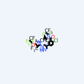 Cn1nc(OC(F)(F)C(F)C(F)(F)F)c(C(F)(F)F)c1N/C=C(\C=N)c1ccc(Cl)c(C(=O)N(/C(F)=C(\F)C(F)(F)F)C2(C#N)CC2)c1